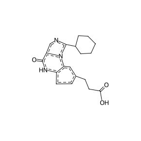 O=C(O)CCc1ccc2[nH]c(=O)c3cnc(C4CCCCC4)n3c2c1